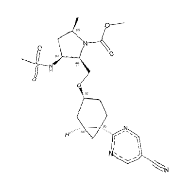 COC(=O)N1[C@H](C)C[C@H](NS(C)(=O)=O)[C@@H]1CO[C@H]1CC[C@@]2(c3ncc(C#N)cn3)C[C@H]2C1